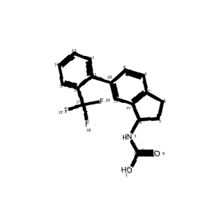 O=C(O)NC1CCc2ccc(-c3ccccc3C(F)(F)F)cc21